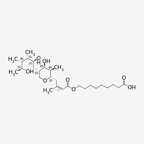 C/C(=C/C(=O)OCCCCCCCCC(=O)O)C[C@@H]1OC[C@H](C[C@H](O)[C@@H](C)[C@@H](C)[C@H](C)O)[C@@H](O)[C@H]1C